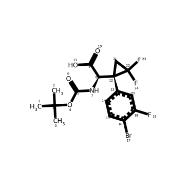 CC(C)(C)OC(=O)N[C@@H](C(=O)O)[C@]1(c2ccc(Br)c(F)c2)CC1(F)F